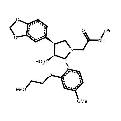 CCCNC(=O)CN1C[C@H](c2ccc3c(c2)OCO3)[C@H](C(=O)O)[C@H]1c1ccc(OC)cc1OCCOC